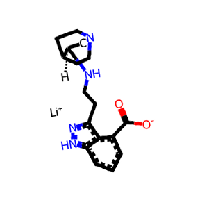 O=C([O-])c1cccc2[nH]nc(CCN[C@@H]3CN4CCC3CC4)c12.[Li+]